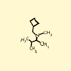 CC(C)C(C)N(C)CC1CCC1